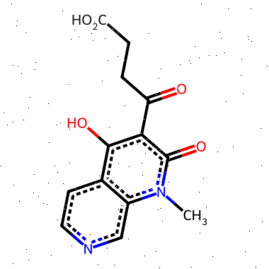 Cn1c(=O)c(C(=O)CCC(=O)O)c(O)c2ccncc21